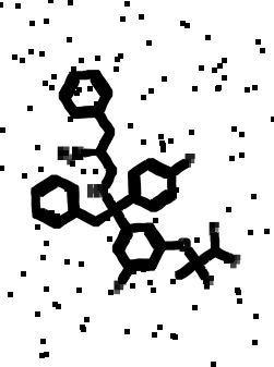 CC(F)(Oc1cc(F)cc([C@](Cc2ccccc2)(NC[C@@H](N)Cc2ccccc2)c2ccc(F)cc2)c1)C(F)F